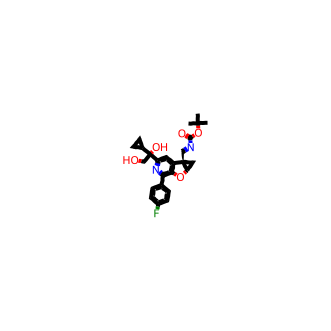 CC(C)(C)OC(=O)/N=C/[C@@]12CC1Oc1c2cc(C(O)(CO)C2CC2)nc1-c1ccc(F)cc1